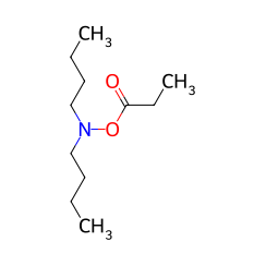 CCCCN(CCCC)OC(=O)CC